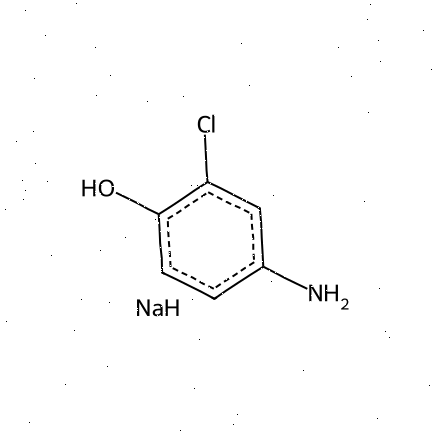 Nc1ccc(O)c(Cl)c1.[NaH]